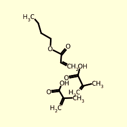 C=C(C)C(=O)O.C=C(C)C(=O)O.C=CC(=O)OCCCC